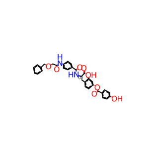 O=C(COCc1ccccc1)Nc1ccc(C(=O)N[C@@H](Cc2ccc(OC(=O)c3ccc(O)cc3)cc2)C(=O)O)cc1